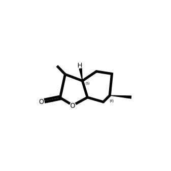 CC1C(=O)OC2C[C@H](C)CC[C@H]21